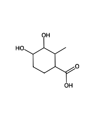 CC1C(C(=O)O)CCC(O)C1O